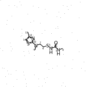 CNC(=O)NSCCN(C)c1nc(C)cs1